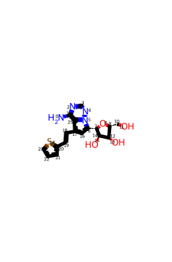 Nc1ncnn2c([C@@H]3O[C@H](CO)[C@@H](O)[C@H]3O)cc(/C=C/c3cccs3)c12